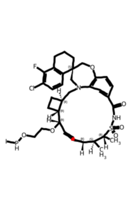 C[C@@H]1[C@@H](C)S(=O)(=O)NC(=O)c2ccc3c(c2)N(C[C@@H]2CC[C@H]2[C@@H](OCCOPI)C2=C[C@H]1C2)C[C@@]1(CCCc2c1ccc(Cl)c2F)CO3